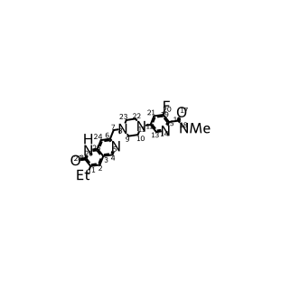 CCc1cc2cnc(CN3CCN(c4cnc(C(=O)NC)c(F)c4)CC3)cc2[nH]c1=O